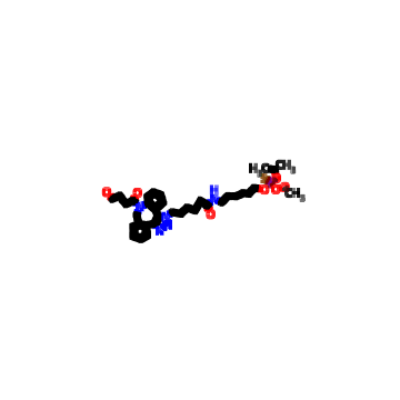 COOP(=S)(OCCCCCCNC(=O)CCCCCn1nnc2c1-c1ccccc1N(C(=O)CCC=O)Cc1ccccc1-2)OC(C)C